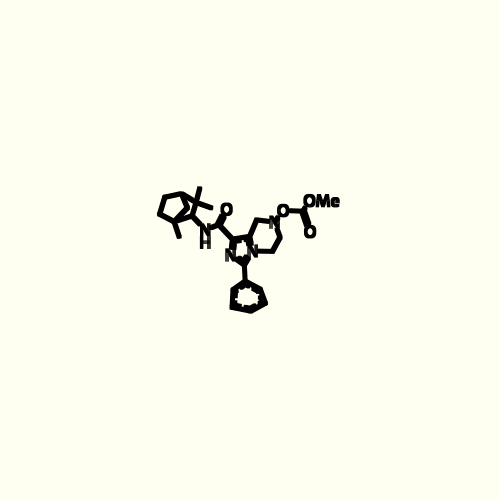 COC(=O)ON1CCn2c(-c3ccccc3)nc(C(=O)NC3C4(C)CCC(C4)C3(C)C)c2C1